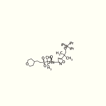 CC(C)[Si](OCC(C)(C)c1cc(NC(=O)C(C)(C)S(=O)(=O)CCC2CCOCC2)no1)(C(C)C)C(C)C